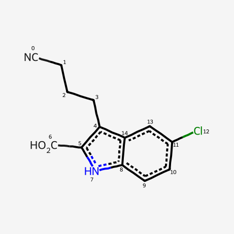 N#CCCCc1c(C(=O)O)[nH]c2ccc(Cl)cc12